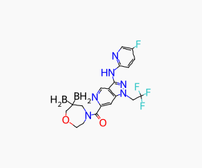 BC1(B)COCCN(C(=O)c2cc3c(cn2)c(Nc2ccc(F)cn2)nn3CC(F)(F)F)C1